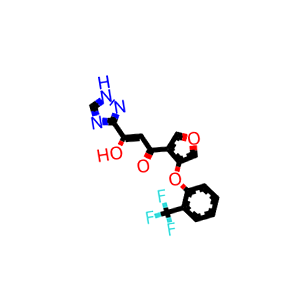 O=C(C=C(O)c1nc[nH]n1)c1cocc1Oc1ccccc1C(F)(F)F